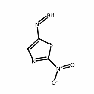 B=Nc1cnc([N+](=O)[O-])s1